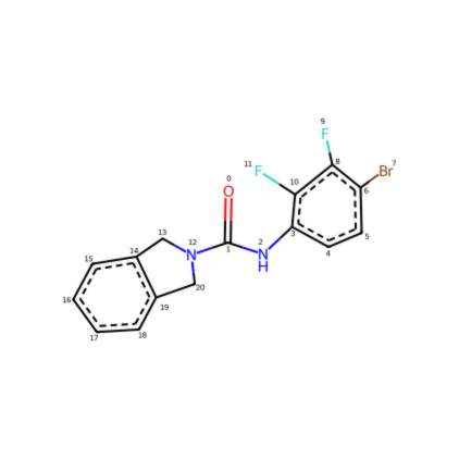 O=C(Nc1ccc(Br)c(F)c1F)N1Cc2ccccc2C1